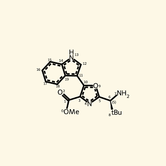 COC(=O)c1nc([C@@H](N)C(C)(C)C)oc1-c1c[nH]c2ccccc12